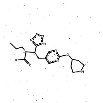 CCC[C@H](C(=O)O)[C@H](Cc1cnc(OC2CCNCC2)nc1)c1nnn[nH]1